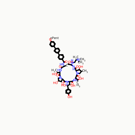 CCCCCOc1ccc(-c2ccc(-c3ccc(C(=O)NC4C[C@@H](O)C(NCC[N+](C)(C)C)NC(=O)C5[C@@H](O)[C@@H](C)CN5C(=O)C([C@@H](C)O)NC(=O)C([C@H](O)[C@@H](O)c5ccc(O)cc5)NC(=O)C5C[C@@H](O)CN5C(=O)C([C@@H](C)O)NC4=O)cc3)cc2)cc1